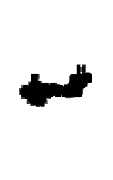 O=C1CCC(N2Cc3cc(NCC4CN(c5cccc(-c6cnc7ccc(N8CCC[C@@H]8c8cccc(F)c8)nn67)n5)C4)ccc3C2=O)C(=O)N1